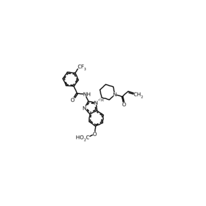 C=CC(=O)N1CCC[C@@H](n2c(NC(=O)c3cccc(C(F)(F)F)c3)nc3cc(OC(=O)O)ccc32)C1